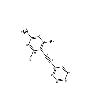 Nc1cc(F)c(C#Cc2ccccc2)c(F)c1